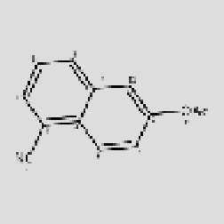 CC(=O)Oc1ccc2c(C#N)cccc2c1